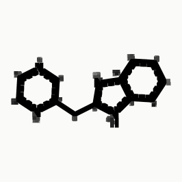 c1ccc2[nH]c(Cc3cnccn3)nc2c1